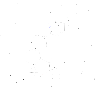 CC1=C(c2cc(-c3ccc(Cl)cn3)ccc2C)C(=O)C(C)(C)OC1(C)C